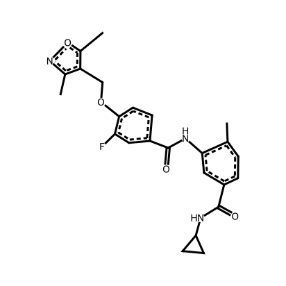 Cc1ccc(C(=O)NC2CC2)cc1NC(=O)c1ccc(OCc2c(C)noc2C)c(F)c1